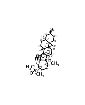 C[C@@H]1CC[C@H](C(C)(C)O)O[C@H]2C[C@@]3(C)[C@@H]4CC[C@H]5CC(=O)CC[C@@]56C[C@@]46CC[C@]3(C)[C@@H]12